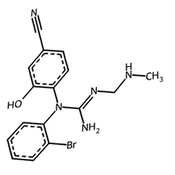 CNCN=C(N)N(c1ccc(C#N)cc1O)c1ccccc1Br